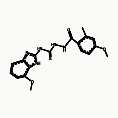 COc1ccc(C(=O)NNC(=S)Nc2nc3cccc(OC)c3[nH]2)c(C)c1